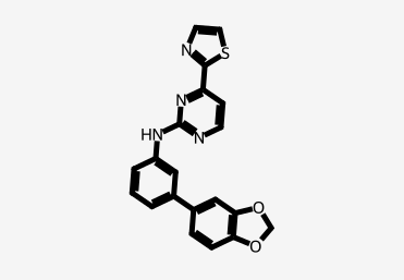 c1cc(Nc2nccc(-c3nccs3)n2)cc(-c2ccc3c(c2)OCO3)c1